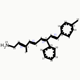 CC(/C=C/C=C(/C=C/c1ccc(C)cc1)c1ccccc1)=C\CN